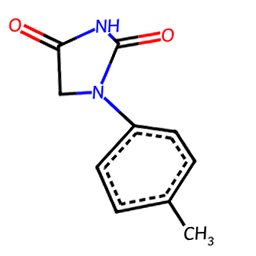 Cc1ccc(N2CC(=O)NC2=O)cc1